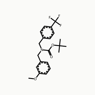 COc1[c]c(CN(Cc2ccc(C(F)(F)F)cc2)C(=O)OC(C)(C)C)ccc1